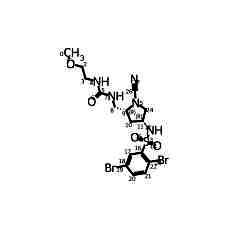 COCCNC(=O)NC[C@H]1C[C@@H](NS(=O)(=O)c2cc(Br)ccc2Br)CN1C#N